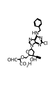 C#C[C@]1(O)C[C@H](n2cnc3c(NCc4ccccc4)nc(Cl)nc32)O[C@@H]1COC(C=O)C(=O)O